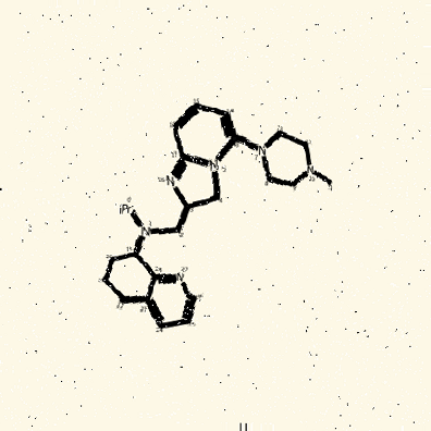 CC(C)N(CC1CN2C(N3CCN(C)CC3)=CC=CC2=N1)C1CCCc2cccnc21